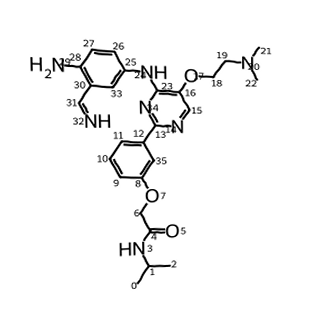 CC(C)NC(=O)COc1cccc(-c2ncc(OCCN(C)C)c(Nc3ccc(N)c(C=N)c3)n2)c1